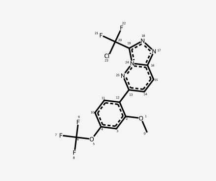 COc1cc(OC(F)(F)F)ccc1-c1ccc2nnc(C(F)(F)Cl)n2n1